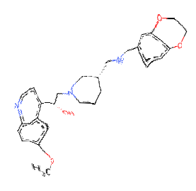 COc1ccc2nccc([C@@H](O)CN3CCC[C@@H](CNCc4ccc5c(c4)OCCO5)C3)c2c1